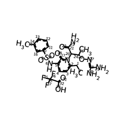 CCc1ccc(NS(=O)(=O)c2cccc(C)c2)c(=O)n1C(C(N)=O)C(C)ON=C(N)N.O=C(O)C(F)(F)F